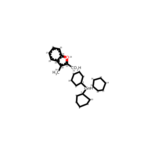 C1CC[CH]([SnH]([CH]2CCCCC2)[CH]2CCCCC2)CC1.Cc1c(C(=O)O)oc2ccccc12